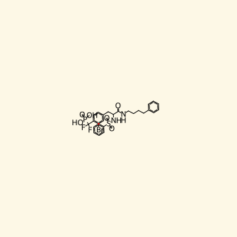 O=C(NCCCCc1ccccc1)C(Cc1ccc(C(F)(F)P(=O)(O)O)c(Br)c1)NS(=O)(=O)c1ccccc1